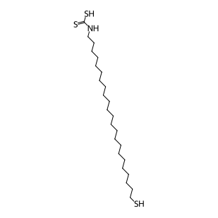 S=C(S)NCCCCCCCCCCCCCCCCCCCCCCCS